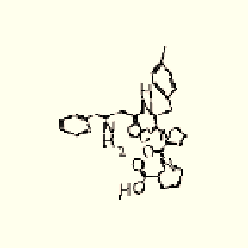 Cc1ccc(C[C@H](NC(=O)C[C@@H](N)Cc2ccccc2)C(=O)N2CCC[C@H]2C(=O)N2CCC[C@H]2C(=O)O)cc1